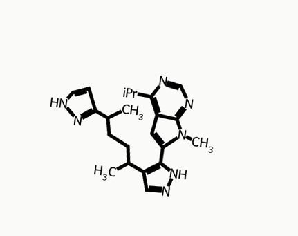 CC(C)c1ncnc2c1cc(-c1[nH]ncc1C(C)CCC(C)c1cc[nH]n1)n2C